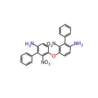 Nc1ccc(Oc2ccc(N)c(-c3ccccc3)c2[N+](=O)[O-])c([N+](=O)[O-])c1-c1ccccc1